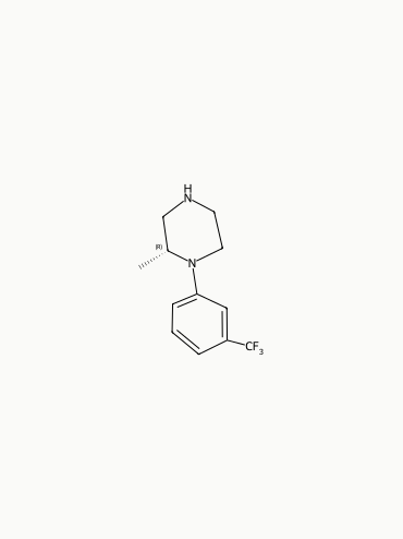 C[C@@H]1CNCCN1c1cccc(C(F)(F)F)c1